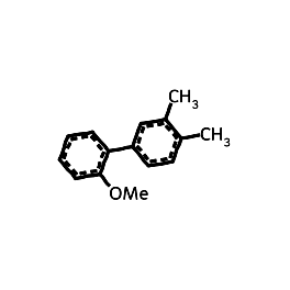 COc1ccccc1-c1ccc(C)c(C)c1